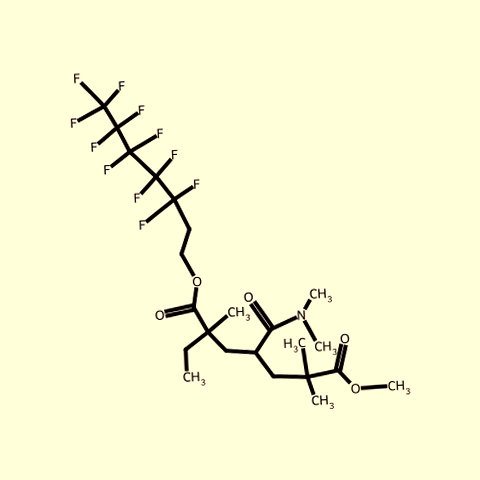 CCC(C)(CC(CC(C)(C)C(=O)OC)C(=O)N(C)C)C(=O)OCCC(F)(F)C(F)(F)C(F)(F)C(F)(F)C(F)(F)F